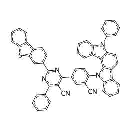 N#Cc1cc(-c2nc(-c3ccc4c(c3)sc3ccccc34)nc(-c3ccccc3)c2C#N)ccc1-n1c2ccccc2c2ccc3c(c4ccccc4n3-c3ccccc3)c21